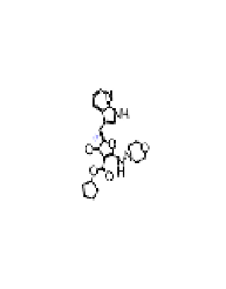 O=C(OC1CCCC1)C1=C(NN2CCOCC2)O/C(=C\c2c[nH]c3ncccc23)C1=O